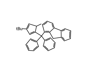 CC1C=C(C(C)(C)C)C=C1C(c1ccccc1)(c1ccccc1)c1cccc2c1Cc1ccccc1-2